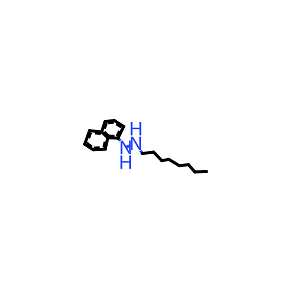 CCCCCCCCNNc1cccc2ccccc12